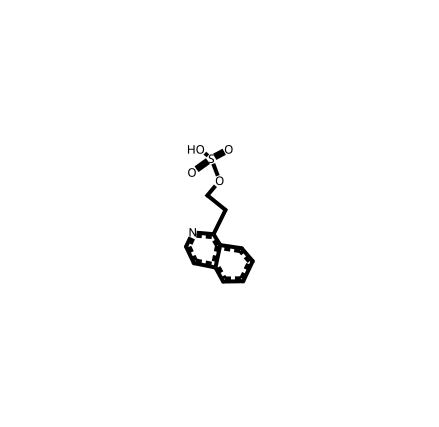 O=S(=O)(O)OCCc1nccc2ccccc12